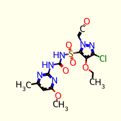 CCOc1c(Cl)nn(C=C=O)c1S(=O)(=O)NC(=O)Nc1nc(C)cc(OC)n1